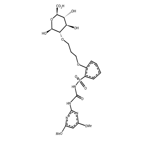 COc1cc(OC)nc(NC(=O)NS(=O)(=O)c2ccccc2OCCCO[C@H]2[C@H](O)[C@@H](O)[C@H](C(=O)O)O[C@@H]2O)n1